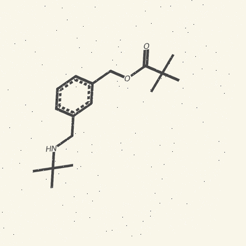 CC(C)(C)NCc1cccc(COC(=O)C(C)(C)C)c1